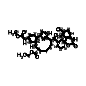 CCOC(=O)[C@H]1CCCC[C@@H](C(=O)N2CCC[C@@]3(C2)OC(=O)Nc2ccc(Cl)c(F)c23)c2nc(c[nH]2)-c2ccc(NC(=O)OC)cc2N1